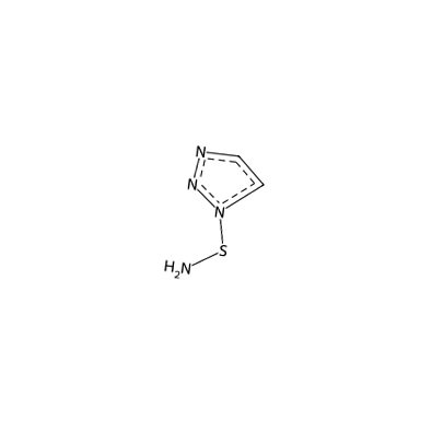 NSn1ccnn1